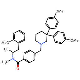 COc1ccc(C2(c3ccc(OC)cc3)CCCN(Cc3ccc(C(=O)N(C)C(C)Cc4ccccc4OC)cc3)C2)cc1